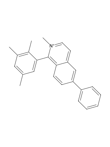 Cc1cc(C)c(C)c(-c2c3ccc(-c4ccccc4)cc3cc[n+]2C)c1